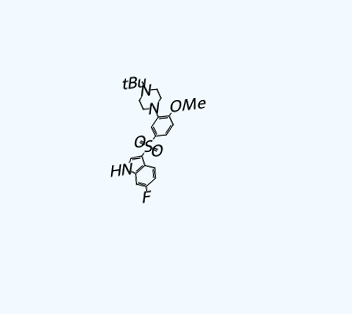 COc1ccc(S(=O)(=O)c2c[nH]c3cc(F)ccc23)cc1N1CCN(C(C)(C)C)CC1